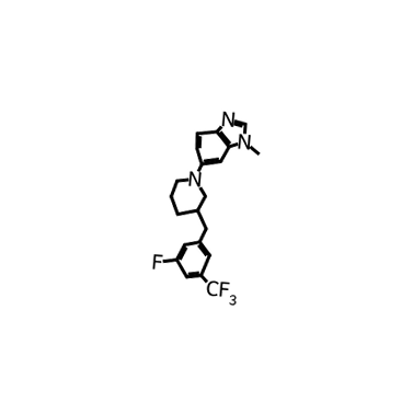 Cn1cnc2ccc(N3CCCC(Cc4cc(F)cc(C(F)(F)F)c4)C3)cc21